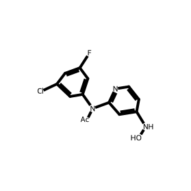 CC(=O)N(c1cc(F)cc(Cl)c1)c1cc(NO)ccn1